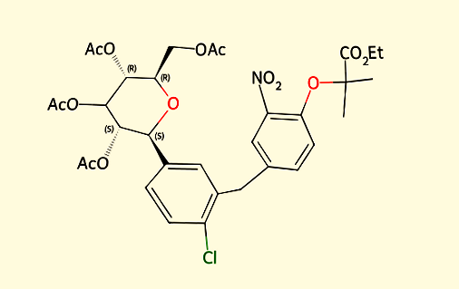 CCOC(=O)C(C)(C)Oc1ccc(Cc2cc([C@@H]3O[C@H](COC(C)=O)[C@@H](OC(C)=O)C(OC(C)=O)[C@H]3OC(C)=O)ccc2Cl)cc1[N+](=O)[O-]